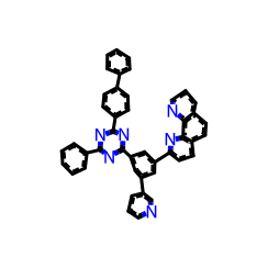 c1ccc(-c2ccc(-c3nc(-c4ccccc4)nc(-c4cc(-c5cccnc5)cc(-c5ccc6ccc7cccnc7c6n5)c4)n3)cc2)cc1